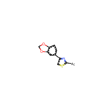 CC(=O)c1nc(-c2ccc3c(c2)OCO3)cs1